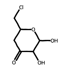 O=C1CC(CCl)OC(O)C1O